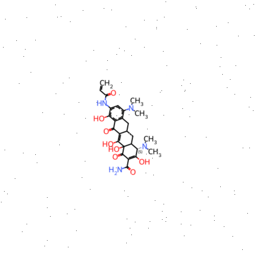 C=CC(=O)Nc1cc(N(C)C)c2c(c1O)C(=O)C1=C(O)C3(O)C(=O)C(C(N)=O)=C(O)[C@@H](N(C)C)C3CC1C2